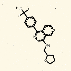 CC(F)(F)c1ccc(-c2nnc(NCC3CCCO3)c3cnccc23)cc1